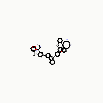 C=C/C=C(\C=C/C)c1cc(-c2ccc3c(c2)c2ccccc2n3-c2ccc(-c3ccc4c(c3)C3(C/C=C\C=C/C4)c4ccccc4Oc4ccccc43)cc2)ccc1N(C)c1ccccc1